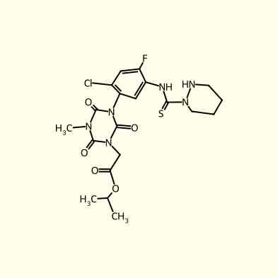 CC(C)OC(=O)Cn1c(=O)n(C)c(=O)n(-c2cc(NC(=S)N3CCCCN3)c(F)cc2Cl)c1=O